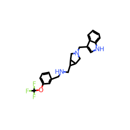 FC(F)(F)Oc1cccc(CNCC2C3CN(Cc4c[nH]c5ccccc45)CC23)c1